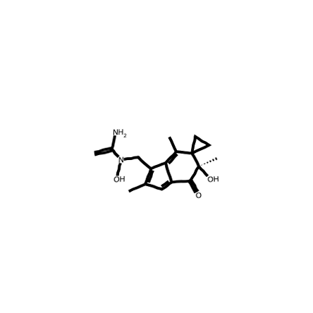 C=C(N)N(O)CC1=C(C)C=C2C(=O)[C@](C)(O)C3(CC3)C(C)=C21